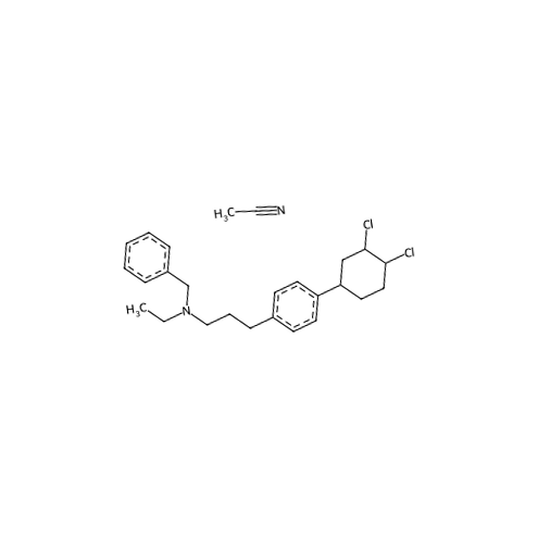 CC#N.CCN(CCCc1ccc(C2CCC(Cl)C(Cl)C2)cc1)Cc1ccccc1